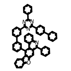 c1ccc(-c2ccc(-c3nc(-c4ccccc4)nc(-c4cccc(-c5cccc(-c6c7c(cc8c(-c9ccccc9)nc9ccccc9c68)oc6ccccc67)c5)c4)n3)cc2)cc1